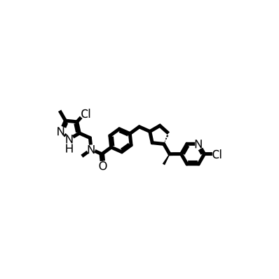 Cc1n[nH]c(CN(C)C(=O)c2ccc(CC3CC[C@H]([C@H](C)c4ccc(Cl)nc4)C3)cc2)c1Cl